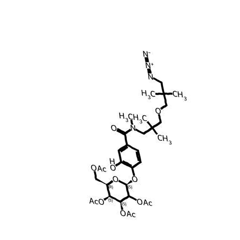 CC(=O)OC[C@H]1O[C@@H](Oc2ccc(C(=O)N(C)CC(C)(C)COCC(C)(C)CN=[N+]=[N-])cc2O)C(OC(C)=O)[C@@H](OC(C)=O)[C@H]1OC(C)=O